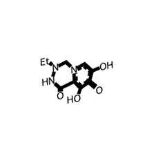 CCN1Cn2cc(O)c(=O)c(O)c2C(=O)N1